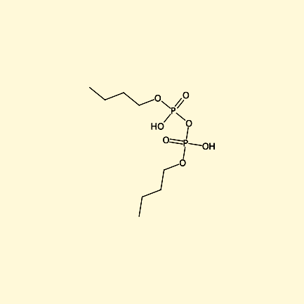 CCCCOP(=O)(O)OP(=O)(O)OCCCC